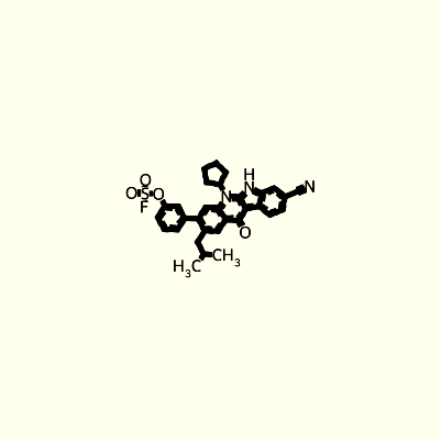 CC(C)Cc1cc2c(=O)c3c4ccc(C#N)cc4[nH]c3n(C3CCCC3)c2cc1-c1cccc(OS(=O)(=O)F)c1